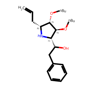 C=CC[C@H]1N[C@@H](C(O)Cc2ccccc2)[C@H](OCCCC)[C@H]1OCCCC